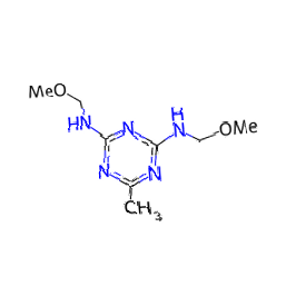 COCNc1nc(C)nc(NCOC)n1